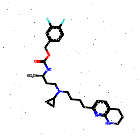 O=C(N[C@@H](CCN(CCCCc1ccc2c(n1)NCCC2)C1CC1)C(=O)O)OCc1ccc(F)c(F)c1